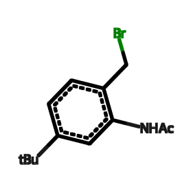 CC(=O)Nc1cc(C(C)(C)C)ccc1CBr